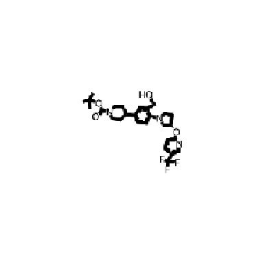 CC(C)(C)OC(=O)N1CCC(c2ccc(N3CC[C@H](Oc4ccc(C(F)(F)F)cn4)C3)c(CO)c2)CC1